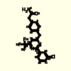 NC(=O)Cc1ccc(Cc2cc(C(F)(F)F)nc(-c3cccc(Cl)c3)n2)cc1